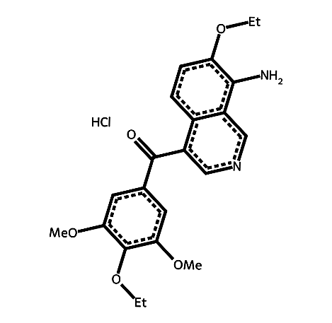 CCOc1ccc2c(C(=O)c3cc(OC)c(OCC)c(OC)c3)cncc2c1N.Cl